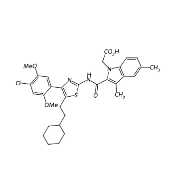 COc1cc(-c2nc(NC(=O)c3c(C)c4cc(C)ccc4n3CC(=O)O)sc2CCC2CCCCC2)c(OC)cc1Cl